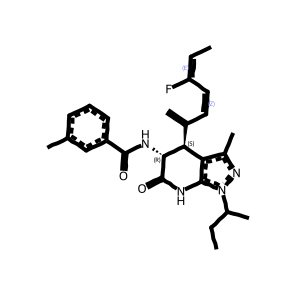 C=C(/C=C\C(F)=C/C)[C@H]1c2c(C)nn(C(C)CC)c2NC(=O)[C@@H]1NC(=O)c1cccc(C)c1